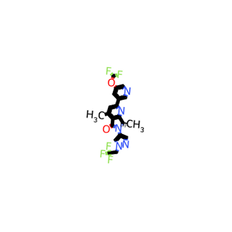 Cc1cc(-c2cncc(OC(F)F)c2)nc2c1C(=O)N(c1cnn(CC(F)(F)F)c1)[C@H]2C